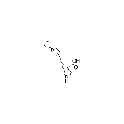 O=C(O)CN1[CH]CNCC1CCCCN1CCN(C2CCCCC2)CC1